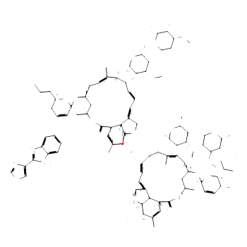 CC[C@H](C)[C@H]1O[C@]2(C=C[C@@H]1C)C[C@@H]1C[C@@H](C/C=C(\C)[C@@H](O[C@H]3C[C@H](OC)[C@@H](O[C@H]4C[C@H](OC)[C@@H](O)[C@H](C)O4)[C@H](C)O3)[C@@H](C)/C=C/C=C3\CO[C@@H]4[C@H](O)C(C)=C[C@@H](C(=O)O1)[C@]34O)O2.CO[C@H]1C[C@H](O[C@H]2[C@H](C)O[C@@H](O[C@@H]3/C(C)=C/C[C@@H]4C[C@@H](C[C@]5(C=C[C@H](C)[C@@H](C(C)C)O5)O4)OC(=O)[C@@H]4C=C(C)[C@@H](O)[C@H]5OC/C(=C\C=C\[C@@H]3C)[C@]54O)C[C@@H]2OC)O[C@@H](C)[C@@H]1O.c1ccc2[nH]c(-c3cscn3)nc2c1